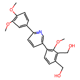 COc1ccc(-c2ccc(-c3ccc(CO)c(CO)c3OC)cn2)cc1OC